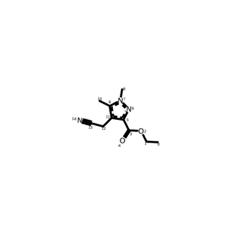 CCOC(=O)c1nn(C)c(C)c1CC#N